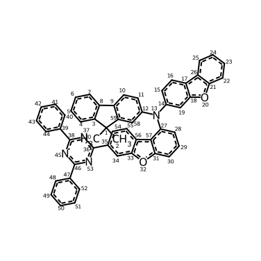 CC1(C)c2ccccc2-c2ccc(N(c3ccc4c(c3)oc3ccccc34)c3cccc4oc5cc(-c6nc(-c7ccccc7)nc(-c7ccccc7)n6)ccc5c34)cc21